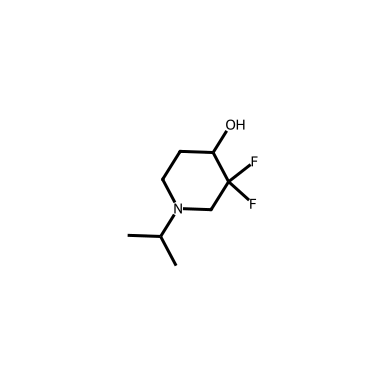 CC(C)N1CCC(O)C(F)(F)C1